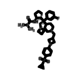 CN(C)C(=O)N[C@H]1CCC[C@@H]1[C@](CN1CCC1)(c1cccc(F)c1)C1CCN(CC2CN(c3ccc(S(=O)(=O)C4CC4)cc3)C2)CC1